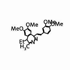 CCC1C(C)=NN=C(C=Cc2ccc(OC)c(OC)c2)c2cc(OC)c(OC)cc21